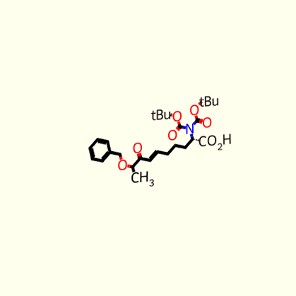 CC(OCc1ccccc1)C(=O)/C=C/CCC[C@@H](C(=O)O)N(C(=O)OC(C)(C)C)C(=O)OC(C)(C)C